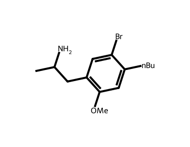 CCCCc1cc(OC)c(CC(C)N)cc1Br